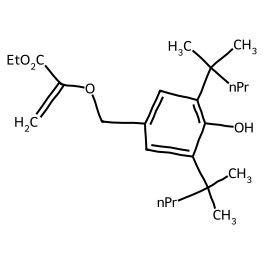 C=C(OCc1cc(C(C)(C)CCC)c(O)c(C(C)(C)CCC)c1)C(=O)OCC